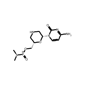 CN(C)[PH](=O)OC[C@@H]1CNC[C@H](n2ccc(N)nc2=O)O1